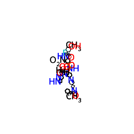 Cc1ccccc1[C@@H]1COCCN1C1CC2(CCN(c3ccc(C(=O)NS(=O)(=O)c4cc5c(c([N+](=O)[O-])c4)N[C@@H](C4(F)CCC(C)(O)CC4)CO5)c(N4c5cc6cc[nH]c6nc5O[C@H]5COCC[C@@H]54)c3)CC2)C1